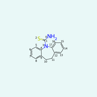 NC(=S)N1c2ccccc2CCc2ccccc21